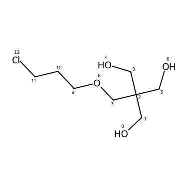 OCC(CO)(CO)COCCCCl